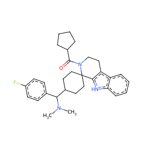 CN(C)C(c1ccc(F)cc1)C1CCC2(CC1)c1[nH]c3ccccc3c1CCN2C(=O)C1CCCC1